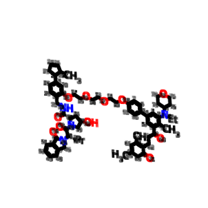 CCN(c1cc(-c2ccc(OCCOCCOCCOc3cc(C4CC=CC4C)ccc3CNC(=O)[C@@H]3C[C@@H](O)CN3C(=O)[C@H](C(C)C)N3Cc4ccccc4C3=O)cc2)cc(C(=O)CCC2=C(C)C=C(C)CC2=O)c1C)C1CCOCC1